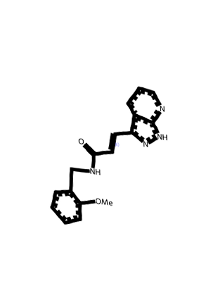 COc1ccccc1CNC(=O)/C=C/c1n[nH]c2ncccc12